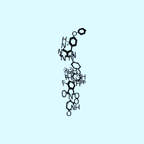 [2H]C1([2H])N(CC2CCC(n3nc(-c4ccc(Oc5ccccc5)cc4)c4c(N)ncnc43)CC2)C([2H])([2H])C([2H])([2H])N(c2cc3c(c(F)c2F)C(=O)N(C2CCC(=O)NC2=O)C3=O)C1([2H])[2H]